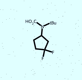 CC(C)(C)N(C(=O)O)C1CCC(F)(F)C1